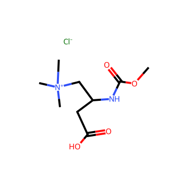 COC(=O)NC(CC(=O)O)C[N+](C)(C)C.[Cl-]